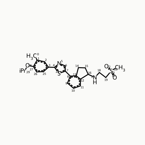 Cc1cc(-c2ncc(-c3cccc4c3CCC4NCCS(C)(=O)=O)s2)ccc1OC(C)C